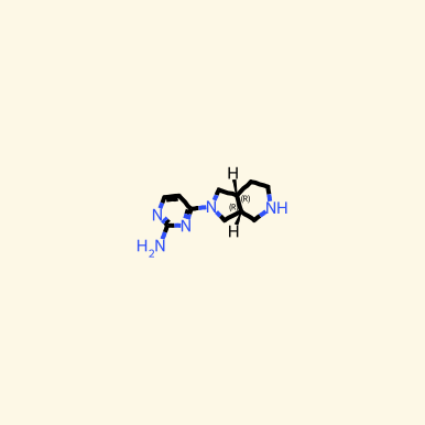 Nc1nccc(N2C[C@H]3CNCC[C@H]3C2)n1